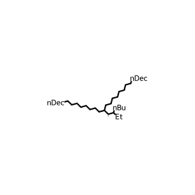 CCCCCCCCCCCCCCCCCCC([CH]C(CC)CCCC)CCCCCCCCCCCCCCCCCC